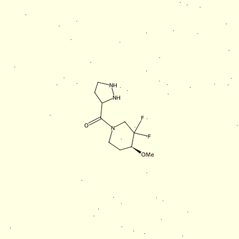 CO[C@H]1CCN(C(=O)C2CCNN2)CC1(F)F